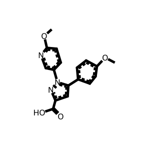 COc1ccc(-c2cc(C(=O)O)nn2-c2ccc(OC)nc2)cc1